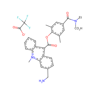 CCN(C(=O)O)C(=O)c1cc(C)c(OC(=O)c2c3ccccc3[n+](C)c3cc(CN)ccc23)c(C)c1.O=C([O-])C(F)(F)F